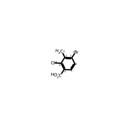 Cc1c(Br)ccc(C(=O)O)c1Cl